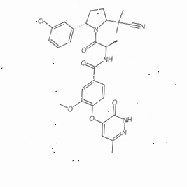 COc1cc(C(=O)N[C@H](C)C(=O)N2C(C(C)(C)C#N)CC[C@H]2c2cccc(Cl)c2)ccc1Oc1cc(C)n[nH]c1=O